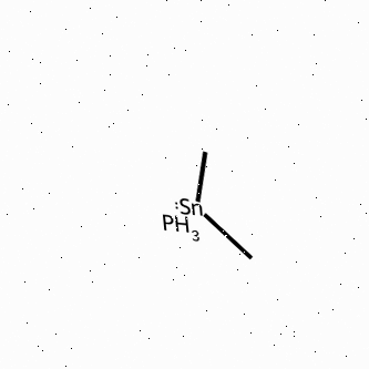 P.[CH3][Sn][CH3]